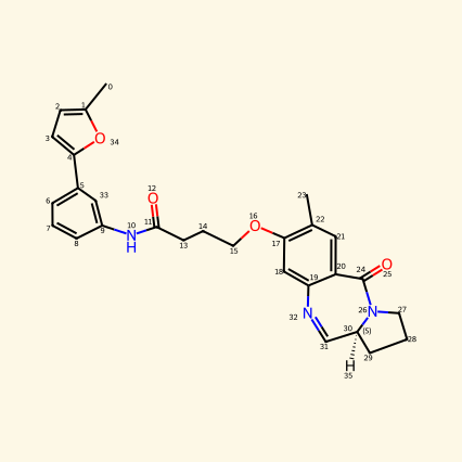 Cc1ccc(-c2cccc(NC(=O)CCCOc3cc4c(cc3C)C(=O)N3CCC[C@H]3C=N4)c2)o1